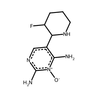 Nc1ncc(C2NCCCC2F)c(N)[n+]1[O-]